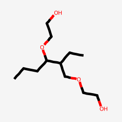 CCCC(OCCO)C(CC)COCCO